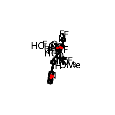 COC(=O)N[C@H](C(=O)N[C@@H](Cc1ccc(C#Cc2ccc(N3CC4CCC(C3)N4C3COC3)nc2)cc1)[C@@H](O)CN(Cc1c(F)cc(-c2ccc(C(F)F)nc2)cc1F)NC(=O)[C@@H](NC(=O)O)C(C)(C)C(F)(F)F)C(C)(C)C(F)(F)F